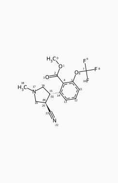 COC(=O)c1c(OC(F)(F)F)cccc1[C@H]1CN(C)C[C@@H]1C#N